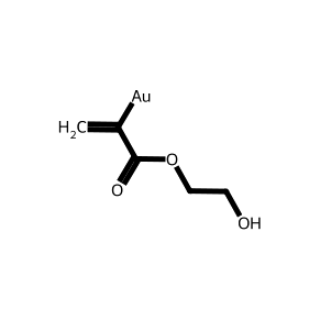 C=[C]([Au])C(=O)OCCO